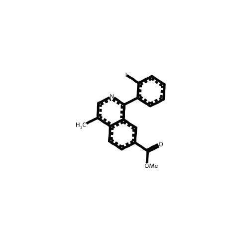 COC(=O)c1ccc2c(C)cnc(-c3ccccc3I)c2c1